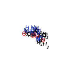 Cc1ccn2nc([C@H](C)Nc3ncnc(N)c3C(=O)Nc3cc(C(N)=O)ccc3O)n(-c3ccccc3)c(=O)c12